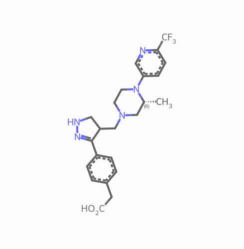 C[C@@H]1CN(CC2CNN=C2c2ccc(CC(=O)O)cc2)CCN1c1ccc(C(F)(F)F)nc1